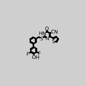 N#Cc1c(-c2cccs2)nc(SCc2cccc(-c3cc(F)c(O)c(F)c3)c2)[nH]c1=O